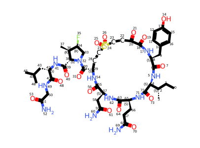 CC[C@H](C)[C@@H]1NC(=O)[C@H](Cc2ccc(O)cc2)NC(=O)C(=O)CCS(=O)(=O)CC[C@@H](C(=O)N2C[C@H](F)[C@H](C)[C@H]2C(=O)N[C@@H](CC(C)C)C(=O)NCC(N)=O)NC(=O)[C@H](CC(N)=O)NC(=O)[C@H](CCC(N)=O)NC1=O